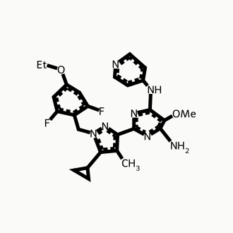 CCOc1cc(F)c(Cn2nc(-c3nc(N)c(OC)c(Nc4ccncc4)n3)c(C)c2C2CC2)c(F)c1